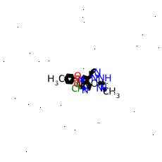 COc1nn(C)cc1Nc1nccc(-c2cn(S(=O)(=O)c3ccc(C)cc3)c3c(Cl)nccc23)n1